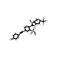 CCS(=O)(=O)c1cc(C#Cc2ccc(Cl)cc2)cnc1-c1nc2cc(C(F)(F)F)ncc2n1C